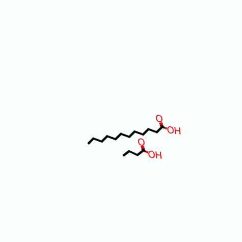 CCCC(=O)O.CCCCCCCCCCCC(=O)O